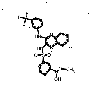 CON(O)c1cccc(S(=O)(=O)Nc2nc3ccccc3nc2Nc2cccc(C(F)(F)F)c2)c1